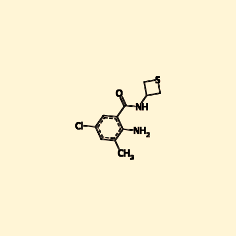 Cc1cc(Cl)cc(C(=O)NC2CSC2)c1N